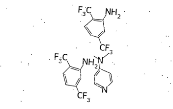 CN(C)c1ccncc1.Nc1cc(C(F)(F)F)ccc1C(F)(F)F.Nc1cc(C(F)(F)F)ccc1C(F)(F)F